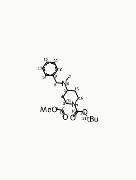 COC(=O)[C@@H]1CC(N(C)Cc2ccccc2)CCN1C(=O)OC(C)(C)C